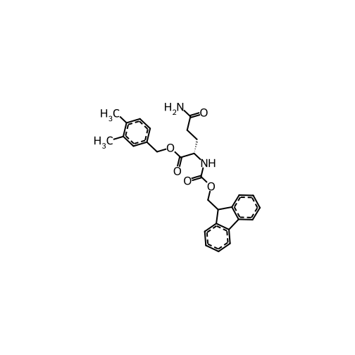 Cc1ccc(COC(=O)[C@H](CCC(N)=O)NC(=O)OCC2c3ccccc3-c3ccccc32)cc1C